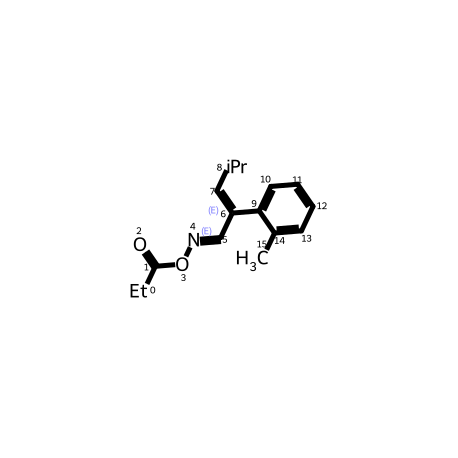 CCC(=O)O/N=C/C(=C/C(C)C)c1ccccc1C